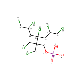 O=P(O)(O)OCC(CCl)(CCl)C(Cl)(CC(Cl)CCl)CC(Cl)CCl